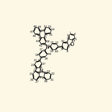 c1ccc2c(c1)oc1ccc(-c3ccc(N(c4ccc(-c5ccc6c7cccc8c9ccccc9n(c6c5)c87)cc4)c4ccc5c6ccccc6c6ccccc6c5c4)cc3)cc12